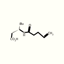 C=CCCC(=O)N[C@H](CC(=O)O)[C@@H](C)CC